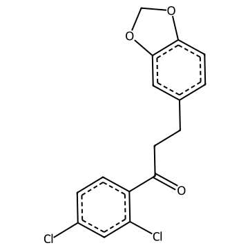 O=C(CCc1ccc2c(c1)OCO2)c1ccc(Cl)cc1Cl